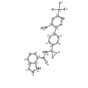 Nc1cc(C(F)(F)F)ncc1-c1ccc(C2(NC(=O)c3cccc4cn[nH]c34)CC2)cc1